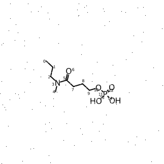 CCCN(C)C(=O)CCCOP(=O)(O)O